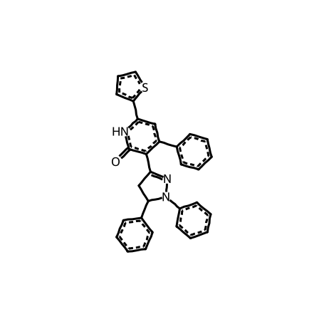 O=c1[nH]c(-c2cccs2)cc(-c2ccccc2)c1C1=NN(c2ccccc2)C(c2ccccc2)C1